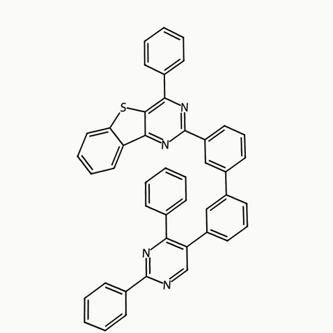 c1ccc(-c2ncc(-c3cccc(-c4cccc(-c5nc(-c6ccccc6)c6sc7ccccc7c6n5)c4)c3)c(-c3ccccc3)n2)cc1